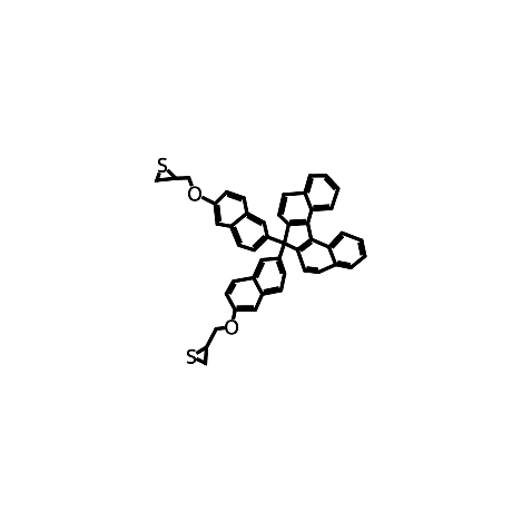 c1ccc2c3c(ccc2c1)C(c1ccc2cc(OCC4CS4)ccc2c1)(c1ccc2cc(OCC4CS4)ccc2c1)c1ccc2ccccc2c1-3